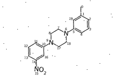 Cc1cccc(N2CCN(c3cccc([N+](=O)[O-])c3)CC2)c1